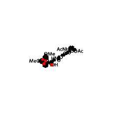 COc1ccc(C(OCC(CO)CCCCNC(=O)COCCOCCOC2OC(COC(C)=O)C(C)C(C)C2NC(C)=O)(c2ccccc2)c2ccc(OC)cc2)cc1